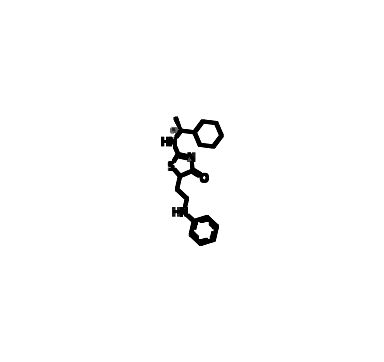 C[C@H](NC1=NC(=O)C(CCNc2ccccc2)S1)C1CCCCC1